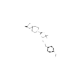 COc1ccc(COC[C@@H](OC(=O)N2CCC3(CC2)CC(=O)CO3)C(F)(F)F)cc1